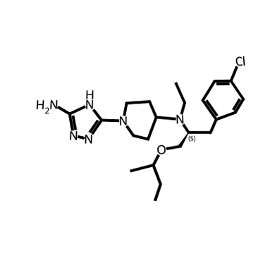 CCC(C)OC[C@H](Cc1ccc(Cl)cc1)N(CC)C1CCN(c2nnc(N)[nH]2)CC1